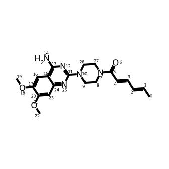 C/C=C/C=C/C(=O)N1CCN(c2nc(N)c3cc(OC)c(OC)cc3n2)CC1